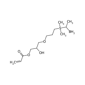 BC(C)S(C)(C)CCCOCC(O)COC(=O)C=C